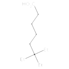 CCC(CC)(CC)CCCCC(=O)O